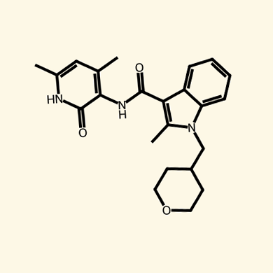 Cc1cc(C)c(NC(=O)c2c(C)n(CC3CCOCC3)c3ccccc23)c(=O)[nH]1